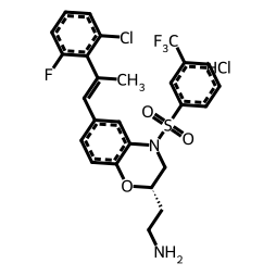 CC(=Cc1ccc2c(c1)N(S(=O)(=O)c1cccc(C(F)(F)F)c1)C[C@H](CCN)O2)c1c(F)cccc1Cl.Cl